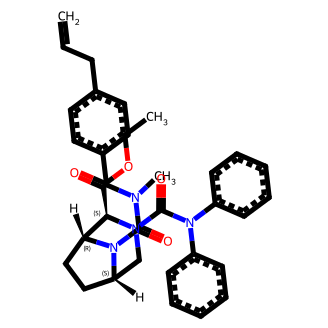 C=CCc1ccc(CN(C)C(=O)N2[C@H]3CC[C@@H]2[C@@H](C(=O)OCC)N(C(=O)N(c2ccccc2)c2ccccc2)C3)cc1